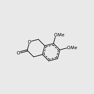 COc1ccc2c(c1OC)COC(=O)C2